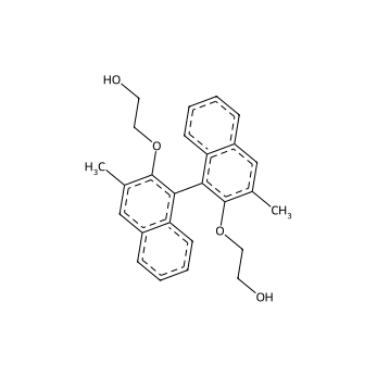 Cc1cc2ccccc2c(-c2c(OCCO)c(C)cc3ccccc23)c1OCCO